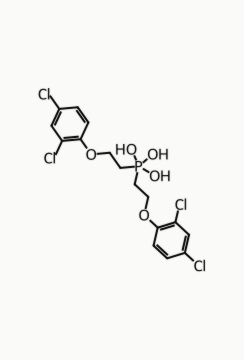 OP(O)(O)(CCOc1ccc(Cl)cc1Cl)CCOc1ccc(Cl)cc1Cl